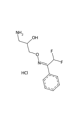 Cl.NCC(O)CON=C(c1ccccc1)C(F)F